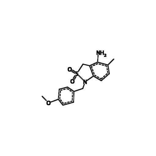 COc1ccc(CN2c3ccc(C)c(N)c3CS2(=O)=O)cc1